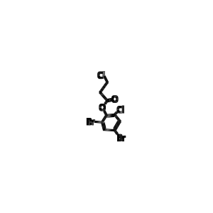 O=C(CCCl)Oc1c(Cl)cc(Br)cc1Br